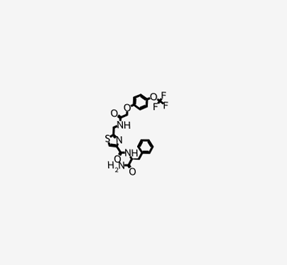 NC(=O)[C@H](Cc1ccccc1)NC(=O)c1csc(CNC(=O)COc2ccc(OC(F)(F)F)cc2)n1